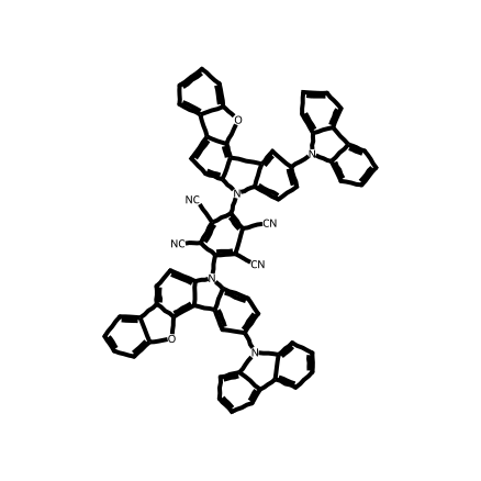 N#Cc1c(C#N)c(-n2c3ccc(-n4c5ccccc5c5ccccc54)cc3c3c4oc5ccccc5c4ccc32)c(C#N)c(C#N)c1-n1c2ccc(-n3c4ccccc4c4ccccc43)cc2c2c3oc4ccccc4c3ccc21